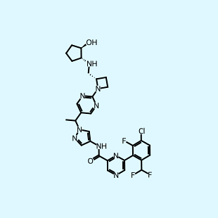 CC(c1cnc(N2CC[C@H]2CN[C@@H]2CCC[C@H]2O)nc1)n1cc(NC(=O)c2cncc(-c3c(C(F)F)ccc(Cl)c3F)n2)cn1